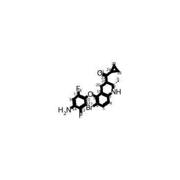 C[C@@H]1Nc2ccc(Br)c(Oc3cc(F)c(N)cc3F)c2CC1C(=O)C1CC1